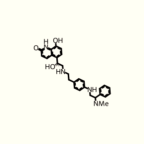 CNC(CNc1ccc(CCNC[C@H](O)c2ccc(O)c3[nH]c(=O)ccc23)cc1)c1ccccc1